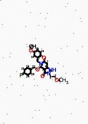 COCCn1[nH]c2cc(=O)n(Cc3cccc(OC)c3)c(OCc3ccc(F)cc3)c2c1=O